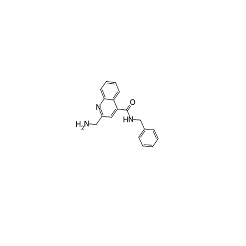 NCc1cc(C(=O)NCc2ccccc2)c2ccccc2n1